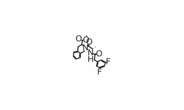 COC(=O)C1Cc2ccccc2CN1C(=O)[C@H](C)NC(=O)Cc1cc(F)cc(F)c1